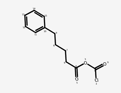 O=C(Cl)OC(=O)CCCCc1ccccc1